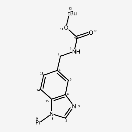 CC(C)n1cnc2cc(CNC(=O)OC(C)(C)C)ccc21